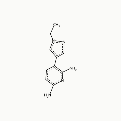 CCn1cc(-c2ccc(N)nc2N)cn1